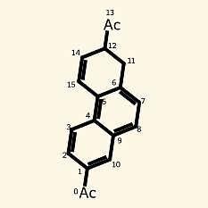 CC(=O)c1ccc2c3c(ccc2c1)CC(C(C)=O)C=C3